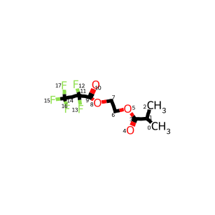 CC(C)C(=O)OCCOC(=O)C(F)(F)C(F)(F)F